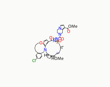 COC(=O)c1ccn2c1CN(C(=O)N[S@@]1(=O)=NC(=O)c3ccc4c(c3)N(Cc3ccc(Cl)cc3CCCCO4)C[C@@H]3CC[C@H]3[C@@H](OC)/C=C/C[C@H](C)C1)CC2